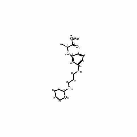 COC(=O)[C@H](C)Oc1cccc(SCCCOC2CCCCO2)c1